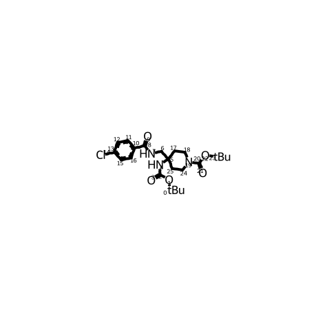 CC(C)(C)OC(=O)NC1(CNC(=O)c2ccc(Cl)cc2)CCN(C(=O)OC(C)(C)C)CC1